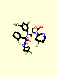 N#Cc1cc(F)cc(N(C(=O)[C@@H]2COC(=O)N2c2cc(C#N)ccn2)[C@H](C(=O)NC2CC(F)(F)C2)c2ccccc2Cl)c1